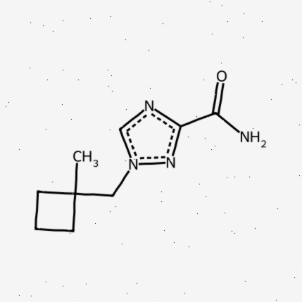 CC1(Cn2cnc(C(N)=O)n2)CCC1